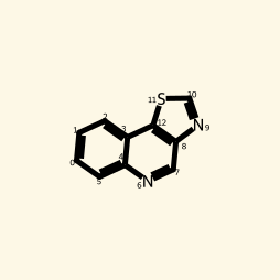 c1ccc2c(c1)ncc1ncsc12